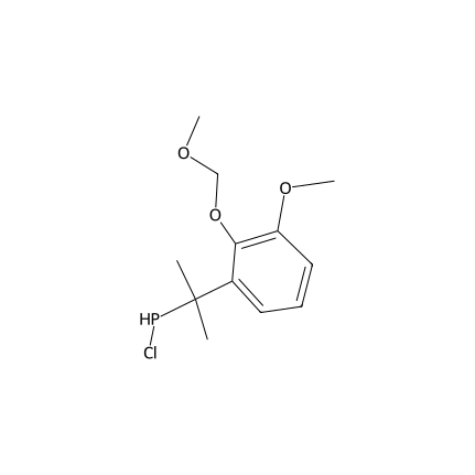 COCOc1c(OC)cccc1C(C)(C)PCl